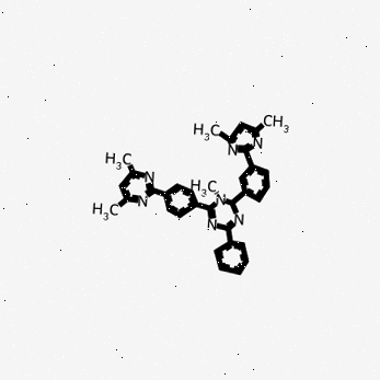 Cc1cc(C)nc(-c2ccc(C3=NC(c4ccccc4)=NC(c4cccc(-c5nc(C)cc(C)n5)c4)N3C)cc2)n1